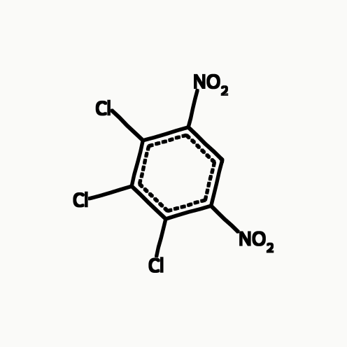 O=[N+]([O-])c1cc([N+](=O)[O-])c(Cl)c(Cl)c1Cl